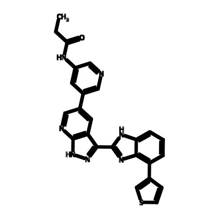 CCC(=O)Nc1cncc(-c2cnc3[nH]nc(-c4nc5c(-c6ccsc6)cccc5[nH]4)c3c2)c1